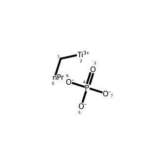 CCC[CH2][Ti+3].O=P([O-])([O-])[O-]